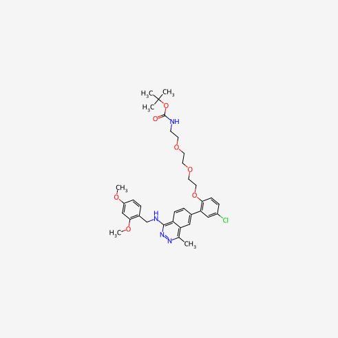 COc1ccc(CNc2nnc(C)c3cc(-c4cc(Cl)ccc4OCCOCCOCCNC(=O)OC(C)(C)C)ccc23)c(OC)c1